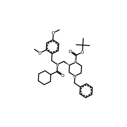 COc1ccc(CN(C[C@@H]2CN(Cc3ccccc3)CCN2C(=O)OC(C)(C)C)C(=O)C2CCCCC2)c(OC)c1